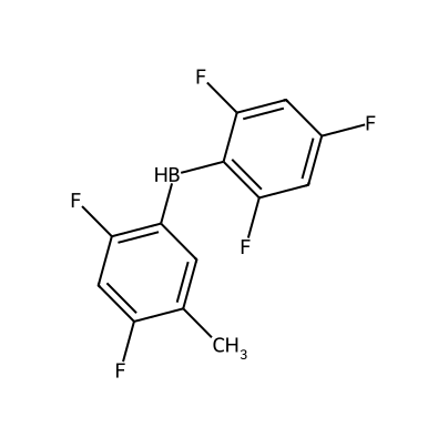 Cc1cc(Bc2c(F)cc(F)cc2F)c(F)cc1F